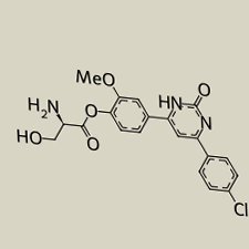 COc1cc(-c2cc(-c3ccc(Cl)cc3)nc(=O)[nH]2)ccc1OC(=O)[C@H](N)CO